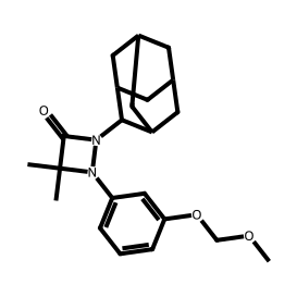 COCOc1cccc(N2N(C3C4CC5CC(C4)CC3C5)C(=O)C2(C)C)c1